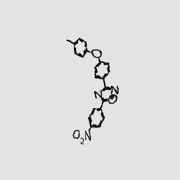 Cc1ccc(Oc2ccc(-c3noc(-c4ccc([N+](=O)[O-])cc4)n3)cc2)cc1